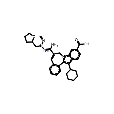 C=NN(CC1CCCO1)/N=C(\N)C1=Cc2ccccc2-c2c(C3CCCCC3)c3ccc(C(=O)O)cc3n2C1